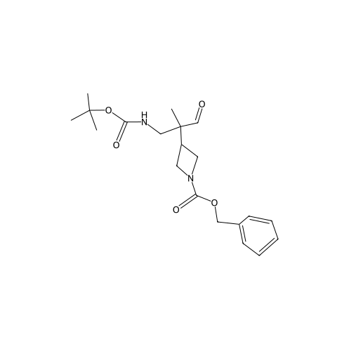 CC(C)(C)OC(=O)NCC(C)(C=O)C1CN(C(=O)OCc2ccccc2)C1